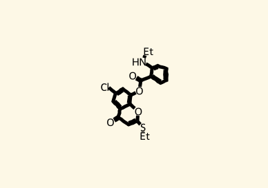 CCNc1ccccc1C(=O)Oc1cc(Cl)cc2c(=O)cc(SCC)oc12